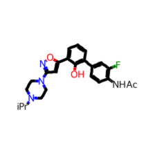 CC(=O)Nc1ccc(-c2cccc(-c3cc(N4CCN(C(C)C)CC4)no3)c2O)cc1F